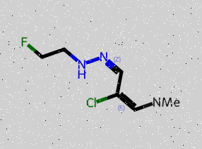 CN/C=C(Cl)\C=N/NCCF